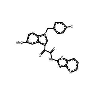 COc1ccc2c(c1)c(C(=O)C(=O)Nc1nc3ncccc3o1)cn2Cc1ccc(Cl)cc1